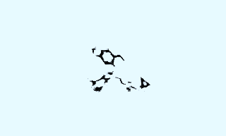 CCc1cc2c(cc1Sc1nc3c(N)ncnc3n1CCS(=O)(=O)NC1CC1)OCO2